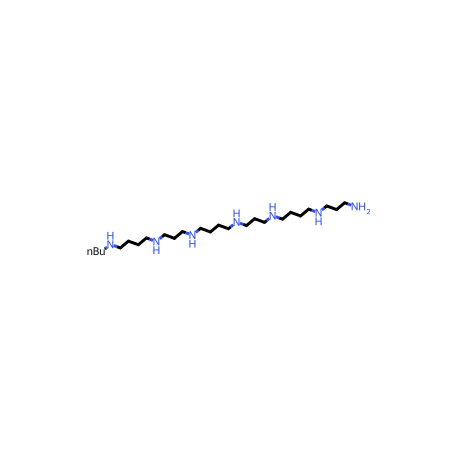 CCCCNCCCCNCCCNCCCCNCCCNCCCCNCCCN